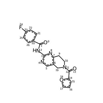 O=C(Nc1ncc2c(n1)CCN(C(=O)c1ccco1)C2)c1ccc(F)cc1